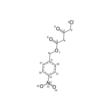 O=C(CCl)CC(=O)OCc1ccc([N+](=O)[O-])cc1